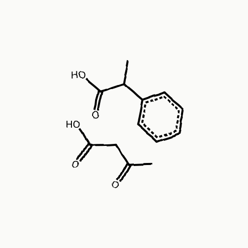 CC(=O)CC(=O)O.CC(C(=O)O)c1ccccc1